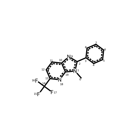 Cn1c(-c2ccccc2)nc2ccc(C(F)(F)F)nc21